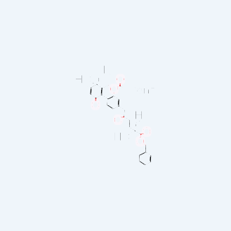 CCCCCC(=O)OCC1=C(c2ccc(CC(=O)CCC(C)(C)C(=O)OCc3ccccc3)cc2)C(=O)C=CC1(C)C